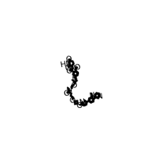 CN(CCOC1CN(c2ccc3c(c2)C(=O)N(C2CCC(=O)NC2=O)C3=O)C1)C(=O)CCCO[C@H]1C[C@H](Oc2ccc(-c3ccc4c5cnccc5n(C)c4c3)cn2)C1